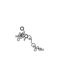 CC(C)(C)OC(=O)N1CCC(CCN2CCc3cc(OCc4ccccc4)c(N4CC(=O)NS4(=O)=O)c(F)c3C2)CC1